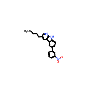 CCCCCc1cnc2[nH]c3ccc(-c4cccc([N+](=O)[O-])c4)cc3c2c1